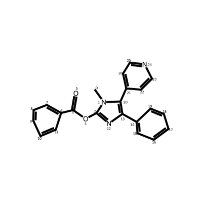 Cn1c(OC(=O)c2ccccc2)nc(-c2ccccc2)c1-c1ccncc1